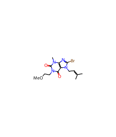 COCCn1c(=O)c2c(nc(Br)n2CC=C(C)C)n(C)c1=O